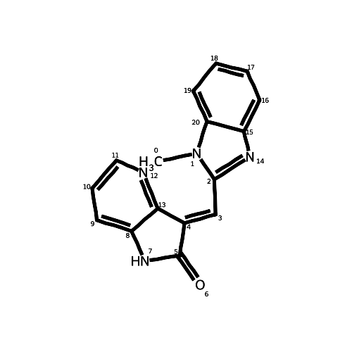 Cn1c(C=C2C(=O)Nc3cccnc32)nc2ccccc21